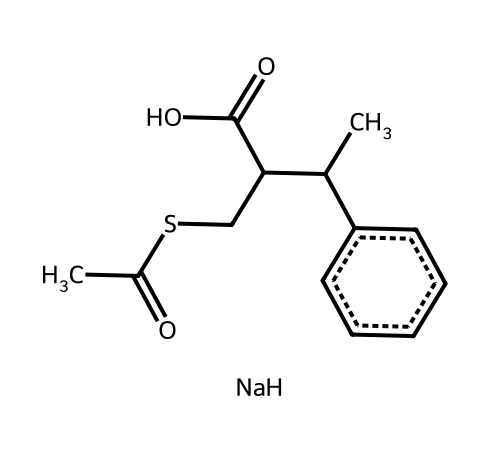 CC(=O)SCC(C(=O)O)C(C)c1ccccc1.[NaH]